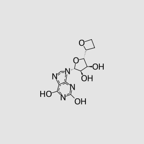 Oc1nc(O)c2ncn([C@@H]3O[C@H](C4CCO4)[C@@H](O)[C@H]3O)c2n1